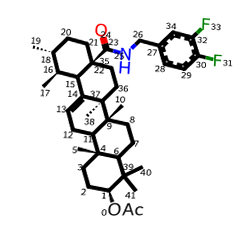 CC(=O)O[C@H]1CC[C@@]2(C)C(CC[C@]3(C)C2CC=C2C4[C@@H](C)[C@H](C)CC[C@]4(C(=O)NCc4ccc(F)c(F)c4)CC[C@]23C)C1(C)C